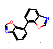 [c]1nc2cccc(-c3cccc4n[c]oc34)c2o1